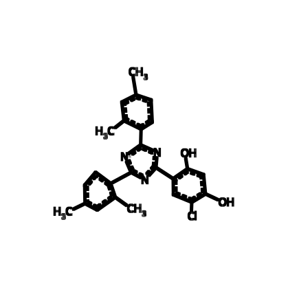 Cc1ccc(-c2nc(-c3ccc(C)cc3C)nc(-c3cc(Cl)c(O)cc3O)n2)c(C)c1